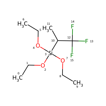 CCO[Si](OCC)(OCC)C(C)C(F)(F)F